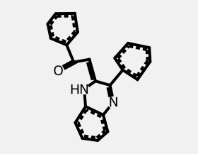 O=C(C=C1Nc2ccccc2N=C1c1ccccc1)c1ccccc1